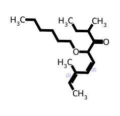 C/C=C(C)\C=C/C(OCCCCCC)C(=O)C(C)CC